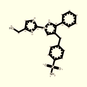 NS(=O)(=O)c1ccc(Cc2cn(-c3nc(CO)cs3)nc2-c2ccccc2)cc1